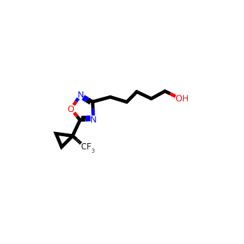 OCCCCCc1noc(C2(C(F)(F)F)CC2)n1